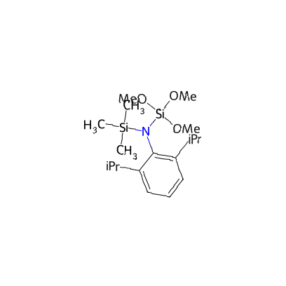 CO[Si](OC)(OC)N(c1c(C(C)C)cccc1C(C)C)[Si](C)(C)C